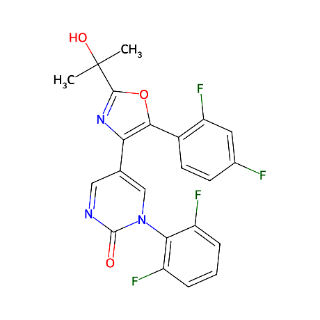 CC(C)(O)c1nc(-c2cnc(=O)n(-c3c(F)cccc3F)c2)c(-c2ccc(F)cc2F)o1